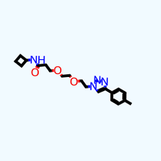 Cc1ccc(-c2cn(CCOCCOCCC(=O)NC3CCC3)nn2)cc1